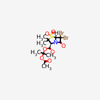 CC(=O)OC(C)(C)OC(=O)[C@@H]1N2C(=O)C(Br)(Br)[C@H]2S(=O)(=O)C1(C)C